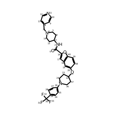 O=C(NC1CCN(Cc2ccncc2)CC1)c1cc2cc(OC3CCN(c4ccc(C(F)(F)F)cc4)CC3)ccc2o1